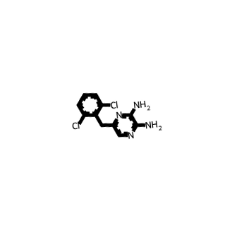 Nc1ncc(Cc2c(Cl)cccc2Cl)nc1N